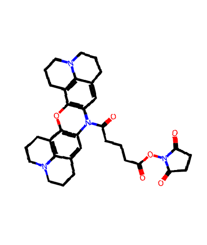 O=C(CCCC(=O)N1c2cc3c4c(c2Oc2c1cc1c5c2CCCN5CCC1)CCCN4CCC3)ON1C(=O)CCC1=O